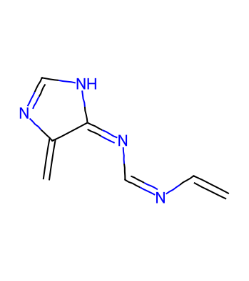 C=C/N=C\N=C1\NC=NC1=C